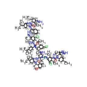 CCc1c(N)cc(Cl)c(CC)c1NC(=O)N(c1ccc(C(C)C)cc1)C1CCOc2ccccc21.CCc1c(N)cc(Cl)c(CC)c1NC(=O)N(c1ccc(C(C)C)cc1)C1CCc2cc(Cl)ccc21.CCc1ccc(N(C(=O)Nc2c(CC)c(N)cc(Cl)c2CC)C(CC)c2cn[nH]c2)cc1.CCc1ccc(N)c(CC)c1NC(=O)N(c1ccc(C(C)C)cc1)C1CCc2ccccc21